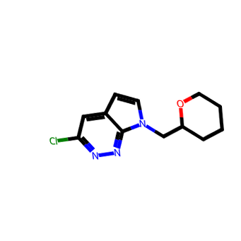 Clc1cc2ccn(CC3CCCCO3)c2nn1